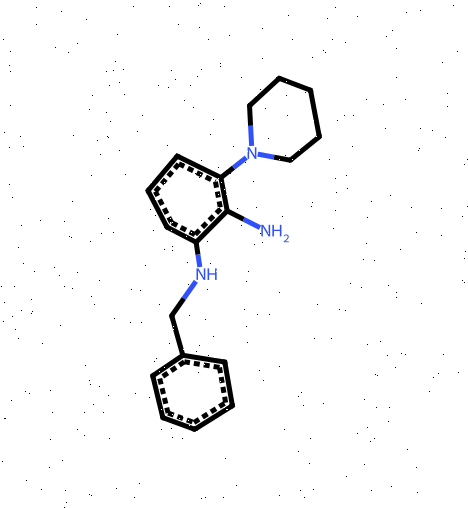 Nc1c(NCc2ccccc2)cccc1N1CCCCC1